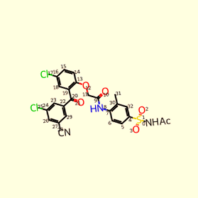 CC(=O)NS(=O)(=O)c1ccc(NC(=O)COc2ccc(Cl)cc2C(=O)c2cc(Cl)cc(C#N)c2)c(C)c1